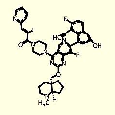 C#Cc1c(F)ccc2cc(O)cc(-c3ncc4c(N5CCN(C(=O)/C(F)=C/c6ccccn6)CC5)nc(OC[C@]56CCC[C@H]5N(C)CCC6)nc4c3F)c12